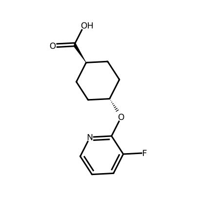 O=C(O)[C@H]1CC[C@H](Oc2ncccc2F)CC1